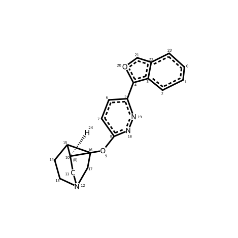 c1ccc2c(-c3ccc(O[C@H]4CN5CCC4CC5)nn3)occ2c1